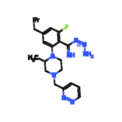 CC(C)Cc1cc(F)c(C(=N)/N=N\N)c(N2CCN(Cc3cccnn3)CC2C)c1